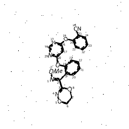 CON=C(C1=NOCCO1)c1ccccc1Oc1cc(Oc2ccccc2C#N)ncn1